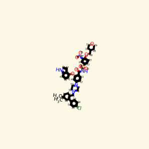 CC1(C)CCC(CN2CCN(c3ccc(C(=O)NS(=O)(=O)c4ccc(OCC5CCOCC5)c([N+](=O)[O-])c4)c(Oc4cccc5[nH]ccc45)c3)CC2)=C(c2ccc(Cl)cc2)C1